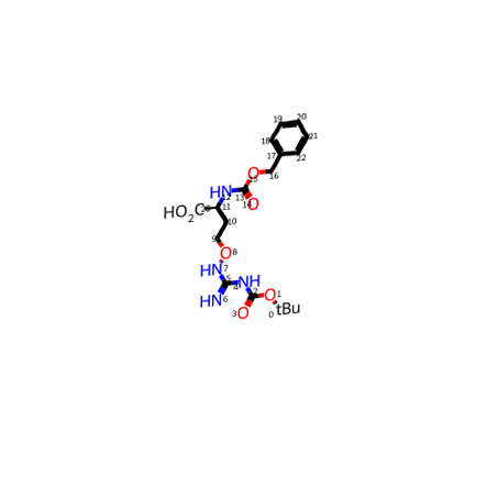 CC(C)(C)OC(=O)NC(=N)NOCC[C@H](NC(=O)OCc1ccccc1)C(=O)O